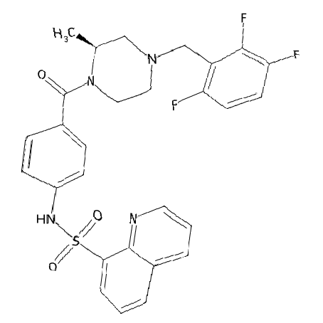 C[C@H]1CN(Cc2c(F)ccc(F)c2F)CCN1C(=O)c1ccc(NS(=O)(=O)c2cccc3cccnc23)cc1